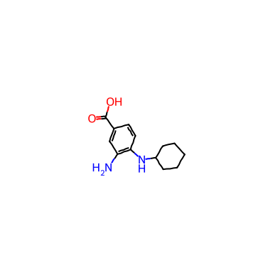 Nc1cc(C(=O)O)ccc1NC1CCCCC1